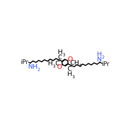 CC(C)C(N)CCCCCCCCCC(C)(C)C1=CC(=O)C(C(C)(C)CCCCCCCCCC(N)C(C)C)=CC1=O